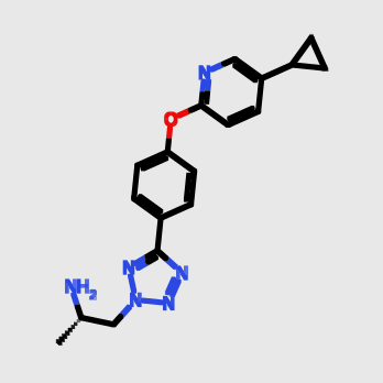 C[C@H](N)Cn1nnc(-c2ccc(Oc3ccc(C4CC4)cn3)cc2)n1